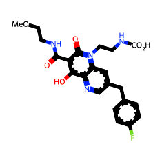 COCCNC(=O)c1c(O)c2ncc(Cc3ccc(F)cc3)cc2n(CCNC(=O)O)c1=O